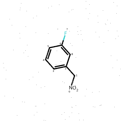 O=[N+]([O-])Cc1cccc(F)c1